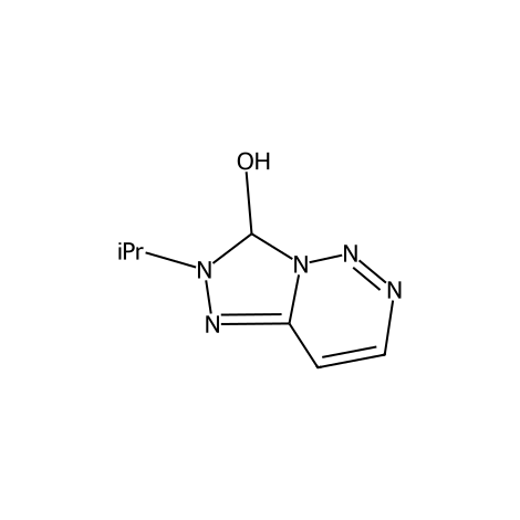 CC(C)N1N=C2C=CN=NN2C1O